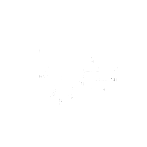 CC(C)CNc1cc(N2C[C@H]3CCN[C@H]3C2)cnn1